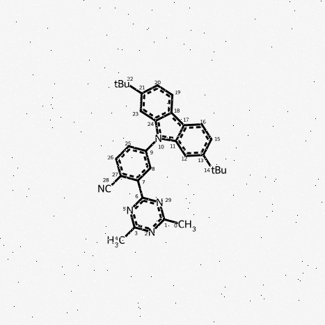 Cc1nc(C)nc(-c2cc(-n3c4cc(C(C)(C)C)ccc4c4ccc(C(C)(C)C)cc43)ccc2C#N)n1